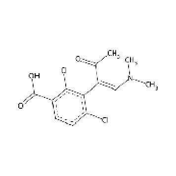 CC(=O)C(=CN(C)C)c1c(Cl)ccc(C(=O)O)c1Cl